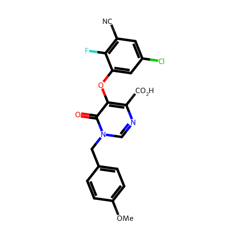 COc1ccc(Cn2cnc(C(=O)O)c(Oc3cc(Cl)cc(C#N)c3F)c2=O)cc1